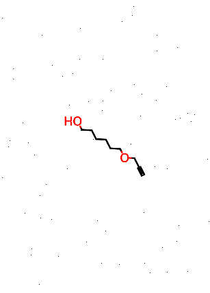 C#CCOCCCCCCO